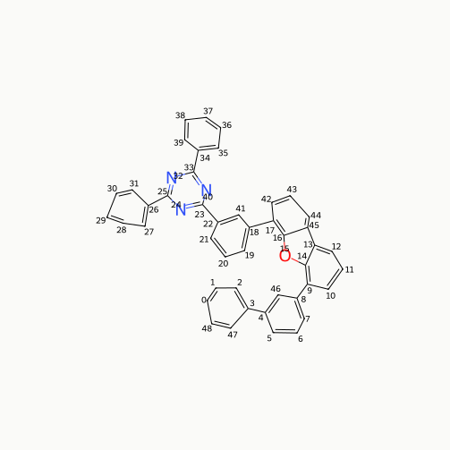 c1ccc(-c2cccc(-c3cccc4c3oc3c(-c5cccc(-c6nc(-c7ccccc7)nc(-c7ccccc7)n6)c5)cccc34)c2)cc1